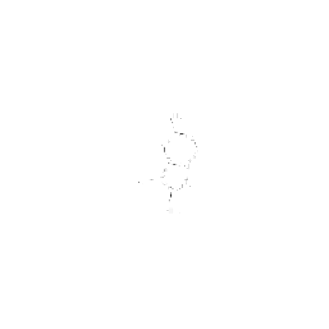 Cc1ccn2nc(N)c(C(C)(C)C)c2n1